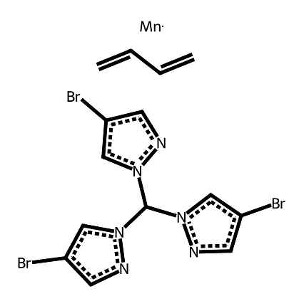 Brc1cnn(C(n2cc(Br)cn2)n2cc(Br)cn2)c1.C=CC=C.[Mn]